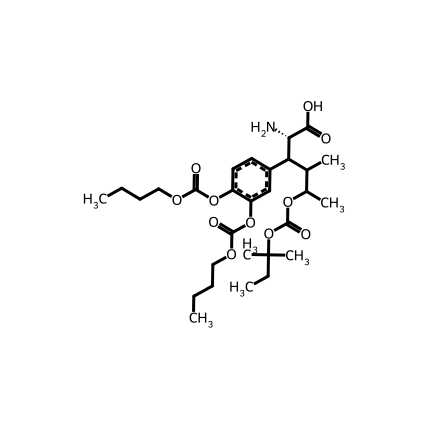 CCCCOC(=O)Oc1ccc(C(C(C)C(C)OC(=O)OC(C)(C)CC)[C@H](N)C(=O)O)cc1OC(=O)OCCCC